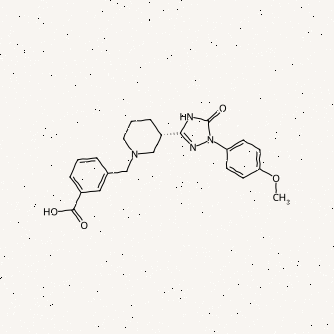 COc1ccc(-n2nc([C@H]3CCCN(Cc4cccc(C(=O)O)c4)C3)[nH]c2=O)cc1